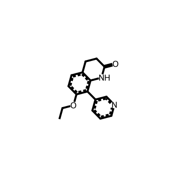 CCOc1ccc2c(c1-c1cccnc1)NC(=O)CC2